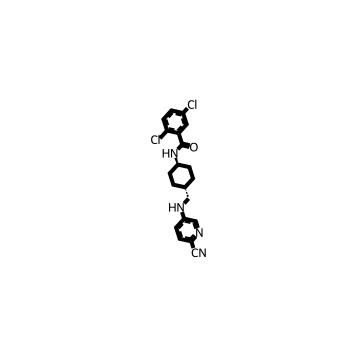 N#Cc1ccc(NC[C@H]2CC[C@H](NC(=O)c3cc(Cl)ccc3Cl)CC2)cn1